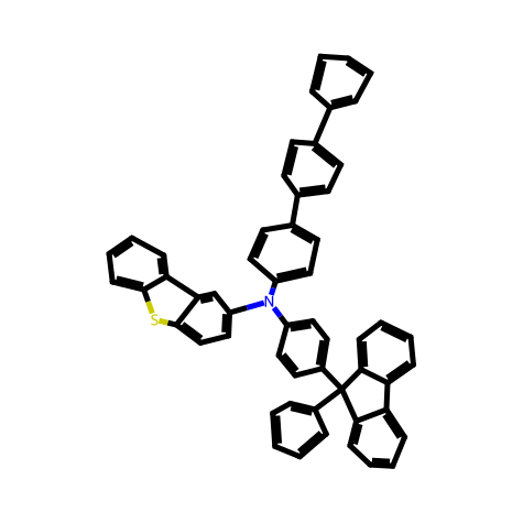 c1ccc(-c2ccc(-c3ccc(N(c4ccc(C5(c6ccccc6)c6ccccc6-c6ccccc65)cc4)c4ccc5sc6ccccc6c5c4)cc3)cc2)cc1